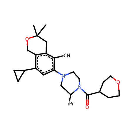 CC(C)C1CN(c2cc(C3CC3)c3c(c2C#N)CC(C)(C)OC3)CCN1C(=O)C1CCOCC1